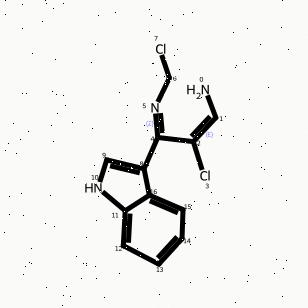 N/C=C(Cl)\C(=N/CCl)c1c[nH]c2ccccc12